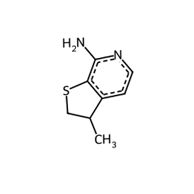 CC1CSc2c1ccnc2N